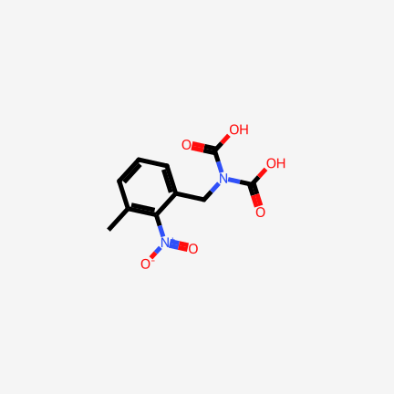 Cc1cccc(CN(C(=O)O)C(=O)O)c1[N+](=O)[O-]